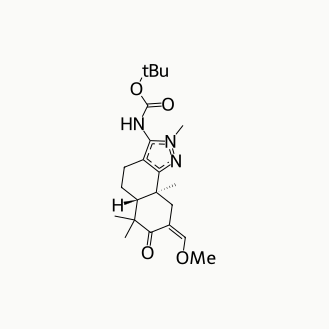 CO/C=C1/C[C@]2(C)c3nn(C)c(NC(=O)OC(C)(C)C)c3CC[C@H]2C(C)(C)C1=O